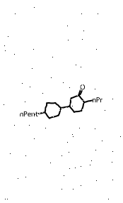 CCCCCC1CCC(C2CCC(CCC)C(=O)C2)CC1